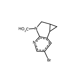 O=C(O)N1CC2CC2c2cc(Br)cnc21